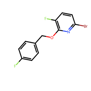 Fc1ccc(COc2nc(Br)ccc2F)cc1